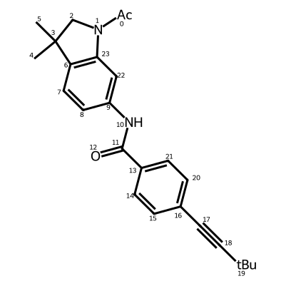 CC(=O)N1CC(C)(C)c2ccc(NC(=O)c3ccc(C#CC(C)(C)C)cc3)cc21